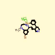 CN1CCN=C(C=Cc2cnccc2-c2cccc(Br)c2)c2ccc(Br)cc21.Cl.Cl